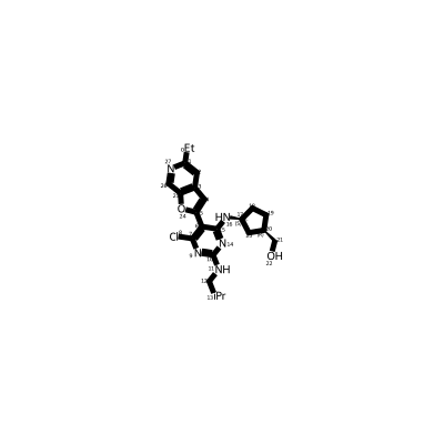 CCc1cc2cc(-c3c(Cl)nc(NCC(C)C)nc3N[C@H]3CC[C@@H](CO)C3)oc2cn1